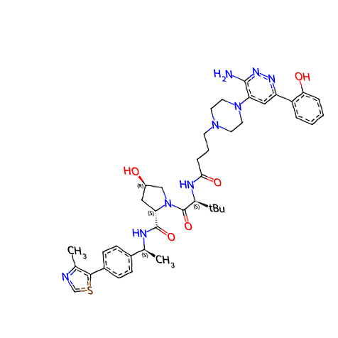 Cc1ncsc1-c1ccc([C@H](C)NC(=O)[C@@H]2C[C@@H](O)CN2C(=O)[C@@H](NC(=O)CCCN2CCN(c3cc(-c4ccccc4O)nnc3N)CC2)C(C)(C)C)cc1